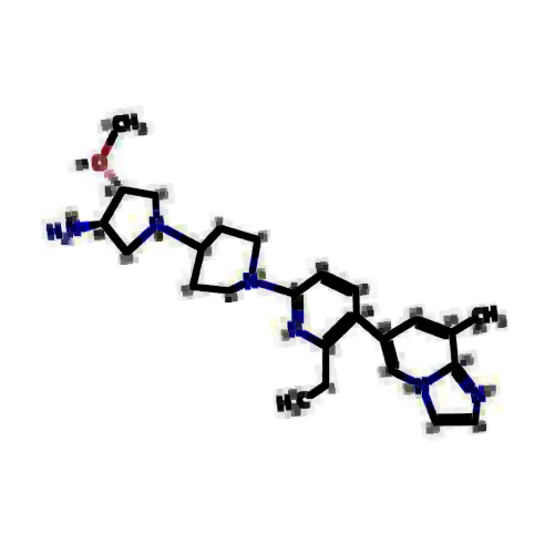 CCc1nc(N2CCC(N3C[C@@H](N)[C@H](OC)C3)CC2)ccc1-c1cc(C)c2nccn2c1